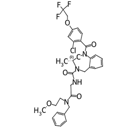 COCCN(Cc1ccccc1)C(=O)CNC(=O)N1Cc2ccccc2N(C(=O)c2ccc(OCC(F)(F)F)cc2Cl)C[C@H]1C